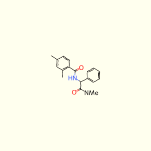 CNC(=O)C(NC(=O)c1ccc(C)cc1C)c1ccccc1